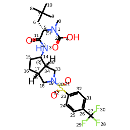 CN(C(=O)O)[C@@H](CC(C)(C)C)C(=O)N[C@@H]1CC[C@H]2CN(S(=O)(=O)c3ccc(C(F)(F)F)cc3)C[C@H]21